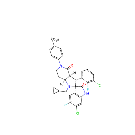 O=C(O)c1ccc(N2CC[C@H]3[C@@H](C2=O)[C@H](c2cccc(Cl)c2F)[C@]2(C(=O)Nc4cc(Cl)c(F)cc42)N3CC2CC2)cc1